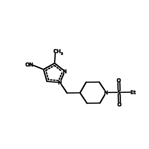 CCS(=O)(=O)N1CCC(Cn2cc(N=O)c(C)n2)CC1